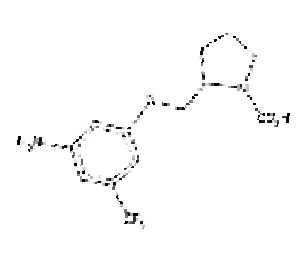 Nc1cc(OCC2CCCN2C(=O)O)cc(C(F)(F)F)c1